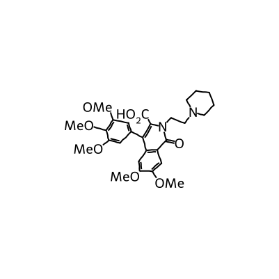 COc1cc2c(-c3cc(OC)c(OC)c(OC)c3)c(C(=O)O)n(CCN3CCCCC3)c(=O)c2cc1OC